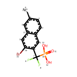 N#Cc1ccc2cc(C(F)(F)P(=O)(O)O)c(Br)cc2c1